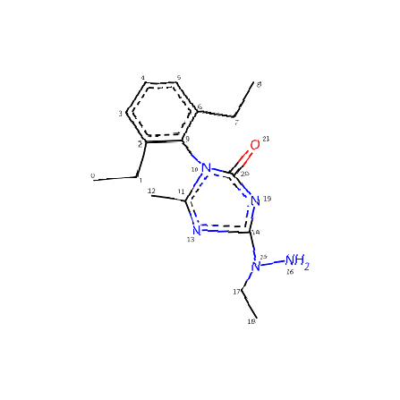 CCc1cccc(CC)c1-n1c(C)nc(N(N)CC)nc1=O